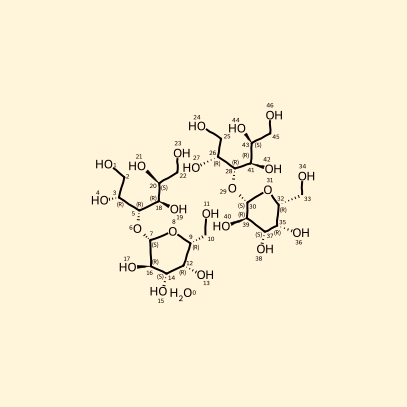 O.OC[C@@H](O)[C@@H](O[C@@H]1O[C@H](CO)[C@H](O)[C@H](O)[C@H]1O)[C@H](O)[C@@H](O)CO.OC[C@@H](O)[C@@H](O[C@@H]1O[C@H](CO)[C@H](O)[C@H](O)[C@H]1O)[C@H](O)[C@@H](O)CO